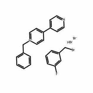 Br.Fc1cccc(CBr)c1.[Br-].c1ccc(C[n+]2ccc(-c3ccncc3)cc2)cc1